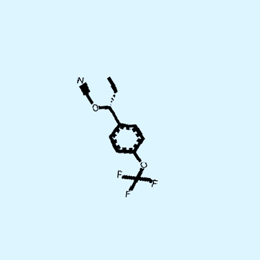 CC[C@@H](OC#N)c1ccc(OC(F)(F)F)cc1